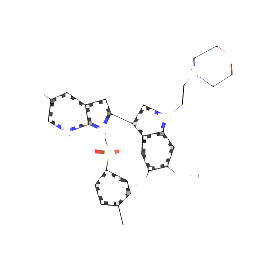 COc1cc2c(-c3cc4cc(F)cnc4n3S(=O)(=O)c3ccc(C)cc3)cn(CCN3CCOCC3)c2cc1OC